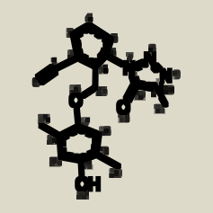 C#Cc1cccc(-n2nnn(C)c2=O)c1COc1cc(C)c(O)cc1C